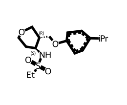 CCS(=O)(=O)N[C@H]1CCOC[C@@H]1COc1ccc(C(C)C)cc1